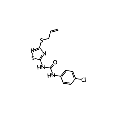 C=CCSc1nsc(NC(=O)Nc2ccc(Cl)cc2)n1